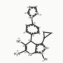 CC(C)n1nc(C2CC2)c2c1OC(N)=C(C#N)C2c1ccc(-n2cncn2)cc1